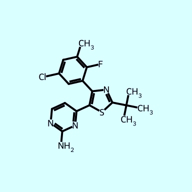 Cc1cc(Cl)cc(-c2nc(C(C)(C)C)sc2-c2ccnc(N)n2)c1F